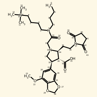 CCCCN(CCCC[N+](C)(C)C)C(=O)CN1C[C@H](c2cc(OC)c3c(c2)OCO3)[C@@H](C(=O)O)[C@@H]1CCN1C(=O)CCC1=O